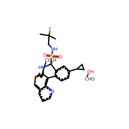 CC(C)(F)CNS(=O)(=O)C1NC23C(=CCC2C(=O)O)C=c2cccnc2=C3c2ccc(C3CC3)cc21.O=CO